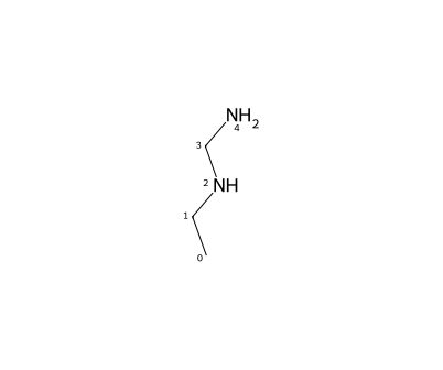 CCNCN